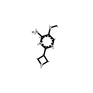 COc1cnc(C2COC2)nc1N